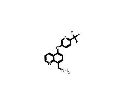 NCc1ccc(Oc2ccc(C(F)(F)F)nc2)c2cccnc12